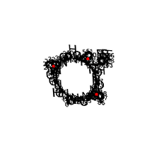 CC[C@H](C)[C@@H]1NC(=O)[C@H](C)N(C)C(=O)C[C@@H](C(=O)N2CCCCC2)N(C)C(=O)[C@H]([C@@H](C)CC)N(C)C(=O)C2(CCCC2)NC(=O)[C@@H](Cc2ccccc2)N(C)C(=O)[C@H](CCc2cc(F)c(C(F)(F)F)c(F)c2)NC(=O)CN(C)C(=O)[C@H](Cc2ccc(C)cc2)N(C)C(=O)[C@@H]2CCN2C(=O)[C@H](C)N(C)C1=O